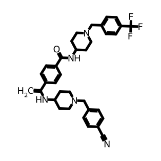 C=C(NC1CCN(Cc2ccc(C#N)cc2)CC1)c1ccc(C(=O)NC2CCN(Cc3ccc(C(F)(F)F)cc3)CC2)cc1